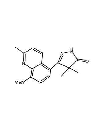 COc1ccc(C2=NNC(=O)C2(C)C)c2ccc(C)nc12